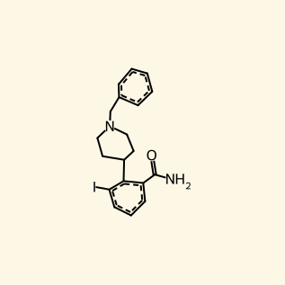 NC(=O)c1cccc(I)c1C1CCN(Cc2ccccc2)CC1